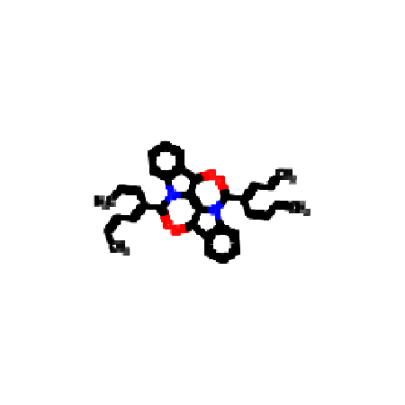 C=C/C=C\C(=C/C=C)C(=O)N1/C(=C2\C(=O)c3ccccc3N2C(=O)C(/C=C\C)=C/C=C\C)C(=O)c2ccccc21